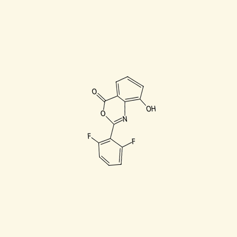 O=c1oc(-c2c(F)cccc2F)nc2c(O)cccc12